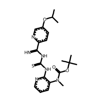 CC(C)Oc1ccc(C(=N)NC(=S)Nc2ncccc2N(C)C(=O)OC(C)(C)C)nc1